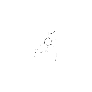 Cc1c(CCN=C=O)c(N=C=O)c(CCN=C=O)c(C)c1N=C=O